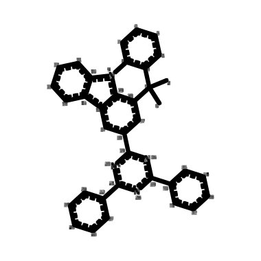 CC1(C)c2ccccc2-n2c3ccccc3c3cc(-c4nc(-c5ccccc5)nc(-c5ccccc5)n4)cc1c32